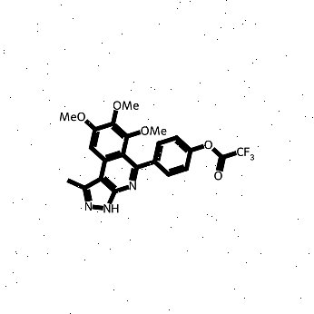 COc1cc2c(c(-c3ccc(OC(=O)C(F)(F)F)cc3)nc3[nH]nc(C)c32)c(OC)c1OC